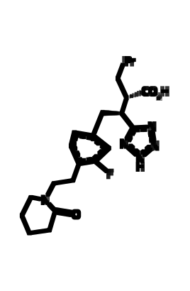 CC(C)C[C@H](C(=O)O)[C@H](Cc1ccc(CCN2CCCCC2=O)c(F)c1)c1nn[nH]n1